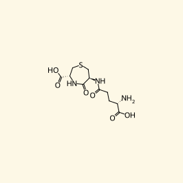 N[C@@H](CCC(=O)N[C@@H]1CSC[C@@H](C(=O)O)NC1=O)C(=O)O